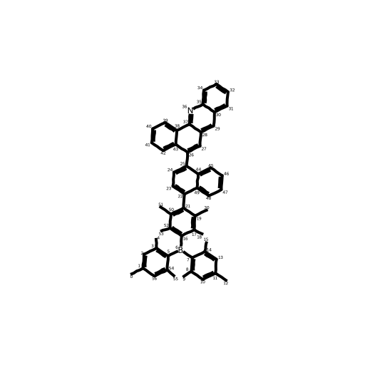 Cc1cc(C)c(B(c2c(C)cc(C)cc2C)c2c(C)c(C)c(-c3ccc(-c4cc5cc6ccccc6nc5c5ccccc45)c4ccccc34)c(C)c2C)c(C)c1